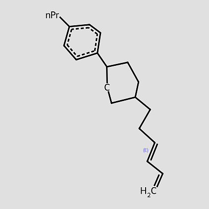 C=C/C=C/CCC1CCC(c2ccc(CCC)cc2)CC1